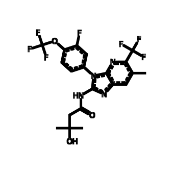 Cc1cc2nc(NC(=O)CC(C)(C)O)n(-c3ccc(OC(F)(F)F)c(F)c3)c2nc1C(F)(F)F